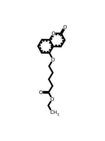 CCOC(=O)CCCCOc1cccc2oc(=O)ccc12